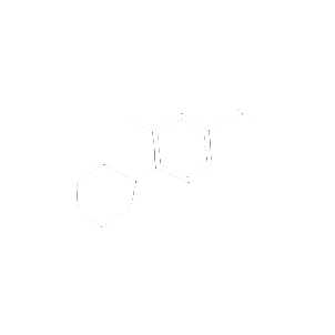 Nc1ccc(C2CCSCC2)c(F)c1